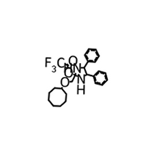 O=C(OC1(COC2CCCCCCC2)NC(c2ccccc2)C(c2ccccc2)N1)C(F)(F)F